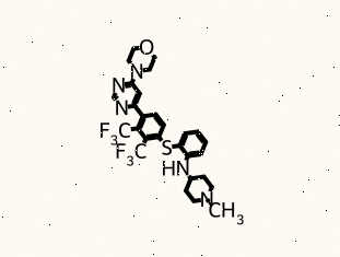 CN1CCC(Nc2ccccc2Sc2ccc(-c3cc(N4CCOCC4)ncn3)c(C(F)(F)F)c2C(F)(F)F)CC1